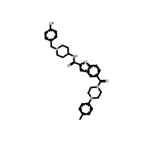 Cc1ccc(N2CCN(C(=O)c3ccc4oc(C(=O)NC5CCN(Cc6ccc(C#N)cc6)CC5)cc4c3)CC2)cc1